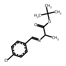 CC(N=Cc1ccc(Cl)cc1)C(=O)OC(C)(C)C